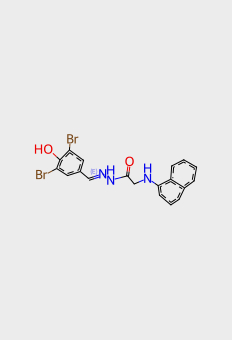 O=C(CNc1cccc2ccccc12)N/N=C/c1cc(Br)c(O)c(Br)c1